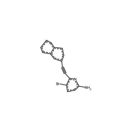 Nc1ccc(Br)c(C#Cc2ccc3ccccc3c2)n1